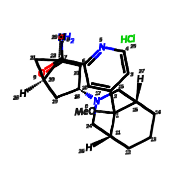 COC1(c2ccnc(C(N)=O)c2)[C@@H]2CCC[C@H]1CN([C@@H]1C[C@H]3C[C@H]3C1)C2.Cl